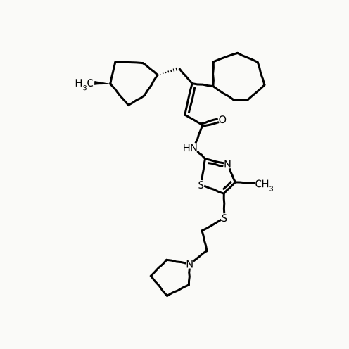 Cc1nc(NC(=O)/C=C(/C[C@H]2CC[C@H](C)CC2)C2CCCCCC2)sc1SCCN1CCCC1